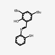 CC(C)(C)c1cc(C=Nc2ccccc2S)c(O)c(C(C)(C)C)c1